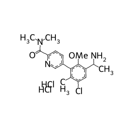 COc1c(C(C)N)cc(Cl)c(C)c1-c1ccc(C(=O)N(C)C)nc1.Cl.Cl